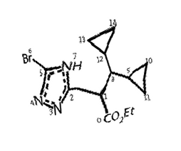 CCOC(=O)C(c1nnc(Br)[nH]1)C(C1CC1)C1CC1